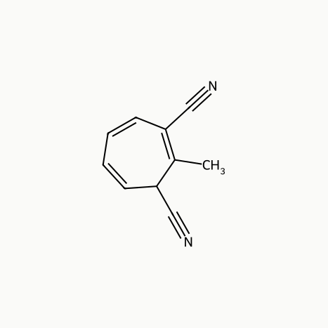 CC1=C(C#N)C=CC=CC1C#N